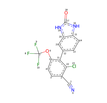 N#Cc1ccc(OC(F)(F)F)c(-c2ccc3[nH]c(=O)[nH]c3c2)c1Cl